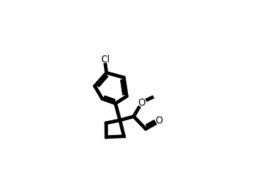 COC(C=O)C1(c2ccc(Cl)cc2)CCC1